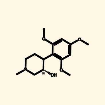 COc1cc(OC)c(C2CCN(C)C[C@H]2O)c(OC)c1